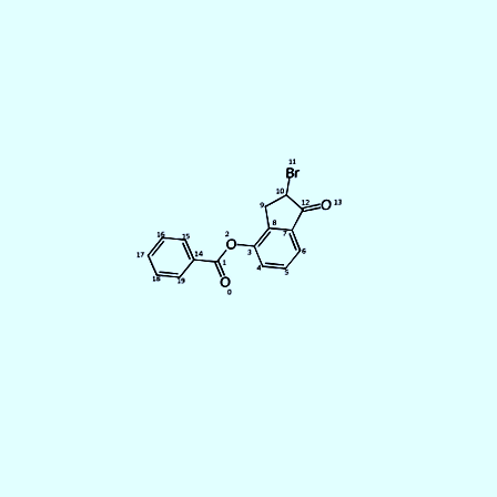 O=C(Oc1cccc2c1CC(Br)C2=O)c1ccccc1